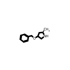 C[C@@H]1CC(OCc2ccccc2)CN1